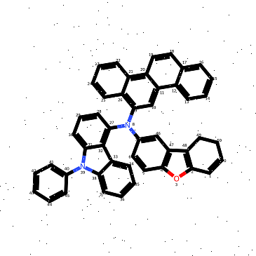 C1=Cc2oc3ccc(N(c4cc5c6ccccc6ccc5c5ccccc45)c4cccc5c4c4ccccc4n5-c4ccccc4)cc3c2CC1